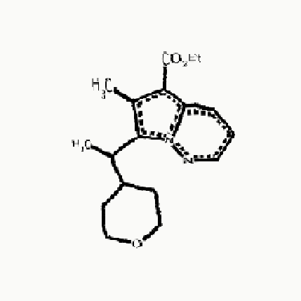 CCOC(=O)c1c(C)c(C(C)C2CCOCC2)n2ncccc12